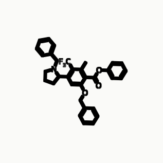 Cc1c(C(=O)Oc2ccccc2)c(OCc2ccccc2)cc(C2CCCN2Cc2ccccc2)c1C(F)(F)F